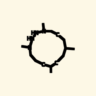 CC1CCCN(C)NNN(C)CCCC(C)CC1